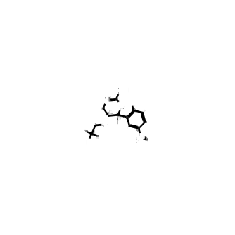 C[C@]1(c2cc([N+](=O)[O-])ccc2F)OC(N)=NC[C@H]1OCC(F)(F)F